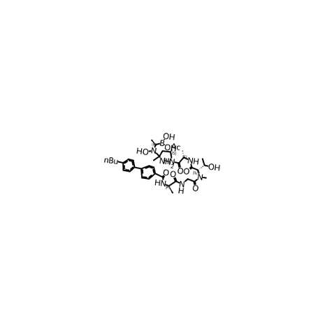 CCCCc1ccc(-c2ccc(C(=O)N[C@H](C)C(=O)NCC(=O)N(C)[C@H](C(=O)N[C@@H](C)C(=O)N[C@@H](CC(C)(N)N(O)[C@@H](C)B(O)O)C(C)=O)C(C)O)cc2)cc1